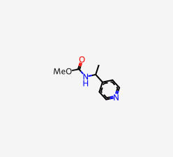 COC(=O)NC(C)c1ccncc1